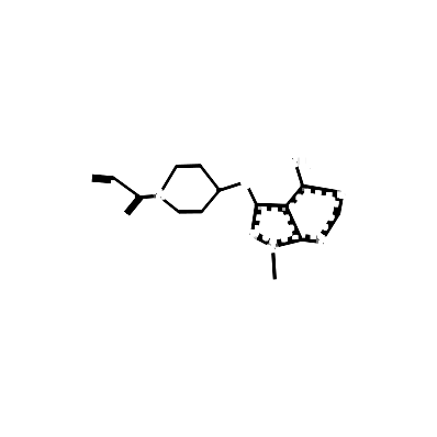 C=CC(=O)N1CCC(Sc2nn(C)c3ncnc(N)c23)CC1